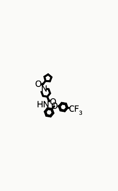 O=C(Nc1ccccc1Oc1ccc(C(F)(F)F)cc1)C1CCN(C(=O)C2CCCC2)CC1